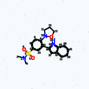 CN(C)S(=O)(=O)c1ccc(N2CCCO2)c(-c2cc3ccccc3[nH]2)c1